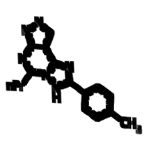 CCCc1nc2nncc-2c2nc(-c3ccc(C)cc3)[nH]n12